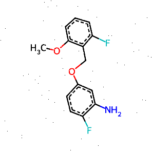 COc1cccc(F)c1COc1ccc(F)c(N)c1